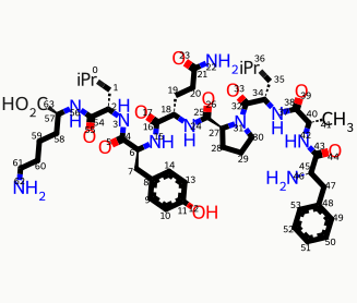 CC(C)C[C@H](NC(=O)[C@H](Cc1ccc(O)cc1)NC(=O)[C@H](CCC(N)=O)NC(=O)[C@@H]1CCCN1C(=O)[C@H](CC(C)C)NC(=O)[C@H](C)NC(=O)[C@@H](N)Cc1ccccc1)C(=O)N[C@@H](CCCCN)C(=O)O